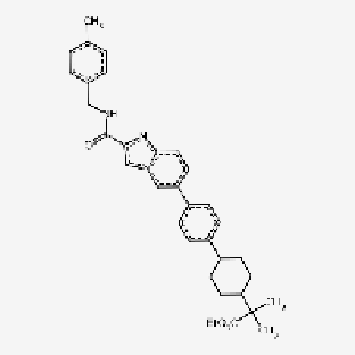 CCOC(=O)C(C)(C)C1CCC(c2ccc(-c3ccc4nc(C(=O)NCc5ccc(C)cc5)cn4c3)cc2)CC1